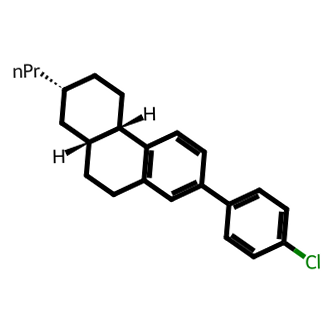 CCC[C@@H]1CC[C@@H]2c3ccc(-c4ccc(Cl)cc4)cc3CC[C@@H]2C1